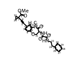 COC(=O)C1(C#Cc2ccc3c(c2)N(C)C(=O)[C@@H](NC(=O)C(=O)NCCc2ccccc2)CO3)CC1